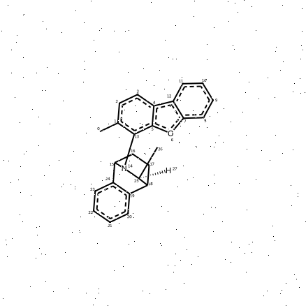 Cc1ccc2c(oc3ccccc32)c1N1C2CCC(c3ccccc32)[C@@H]1C